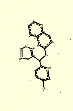 Cc1ccc(C(Cc2ccc3ncccc3c2)C2=NCC=CC2)nc1